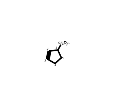 CC[CH]C1C#CCC1